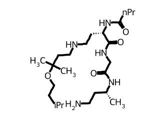 CCCC(=O)N[C@@H](CCNCCC(C)(C)OCCC(C)C)C(=O)NCC(=O)N[C@H](C)CCN